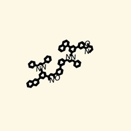 c1ccc(-c2cc(-c3ccccc3)nc(-c3cc(-c4ccc5ccccc5c4)cc(-c4cnc5oc6ccc(-c7cccc(-c8cc(-c9ccccc9)nc(-c9cc(-c%10ccc%11oc%12cccnc%12c%11c%10)cc(-c%10cccc%11ccccc%10%11)c9)n8)c7)cc6c5c4)c3)n2)cc1